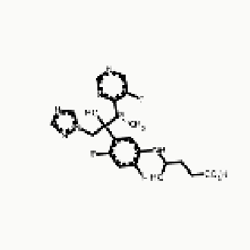 C[C@@H](c1ncncc1F)C(O)(Cn1cncn1)c1cc(NC(O)CCC(=O)O)c(F)cc1F